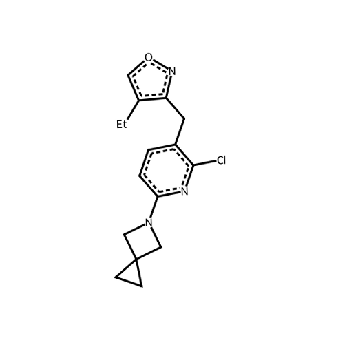 CCc1conc1Cc1ccc(N2CC3(CC3)C2)nc1Cl